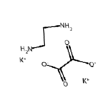 NCCN.O=C([O-])C(=O)[O-].[K+].[K+]